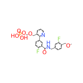 COCc1ccc(CNC(=O)c2cc(-c3ncccc3COCOP(=O)(O)O)ccc2F)cc1F